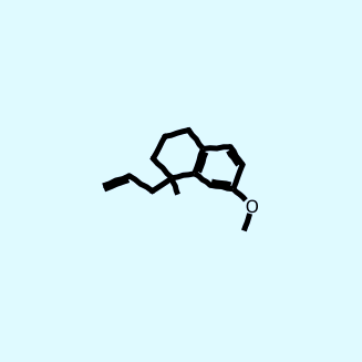 C=CCC1(C)CCCc2ccc(OC)cc21